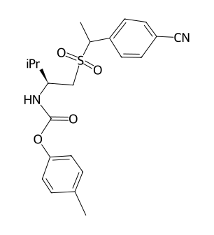 Cc1ccc(OC(=O)N[C@H](CS(=O)(=O)C(C)c2ccc(C#N)cc2)C(C)C)cc1